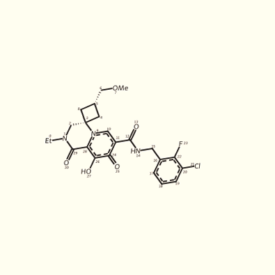 CCN1C[C@]2(C[C@@H](COC)C2)n2cc(C(=O)NCc3cccc(Cl)c3F)c(=O)c(O)c2C1=O